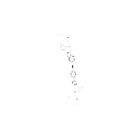 COO/C=N\[C@H](C(=O)N1CCC[C@H]1c1ncc(-c2ccc(C#Cc3ccc4nc([C@@H]5C[C@H]6C[C@H]6N5C(=O)[C@@H](NC(=O)OC)C(C)C)[nH]c4c3)cc2)[nH]1)C(C)C